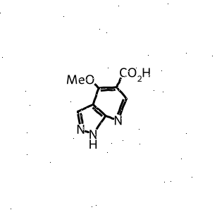 COc1c(C(=O)O)cnc2[nH]ncc12